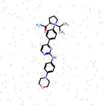 CC(C)[N+]1(c2ccc(-c3ccnc(Nc4ccc(N5CCOCC5)cc4)n3)cc2)CCC[C@@H]1C(N)=O